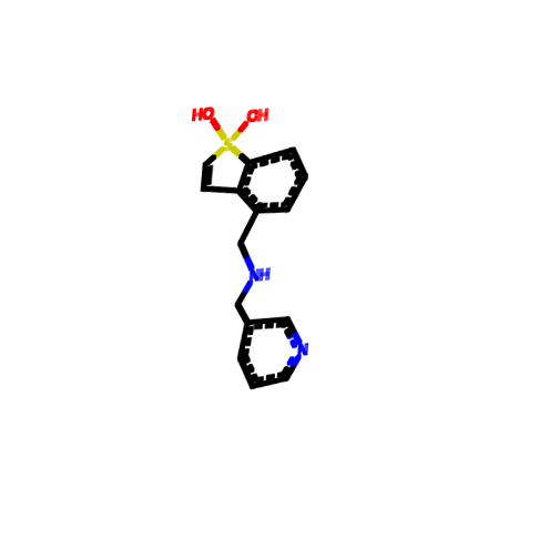 OS1(O)C=Cc2c(CNCc3cccnc3)cccc21